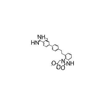 COC(=O)Cn1c(=O)[nH]c2cccc(CCc3ccc(-c4ccc(C(=N)N)cc4)cc3)c21